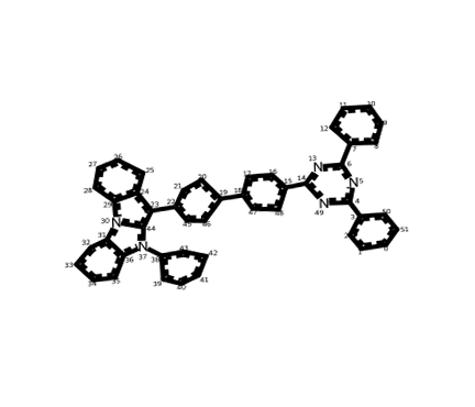 c1ccc(-c2nc(-c3ccccc3)nc(-c3ccc(-c4ccc(-c5c6ccccc6n6c7ccccc7n(-c7ccccc7)c56)cc4)cc3)n2)cc1